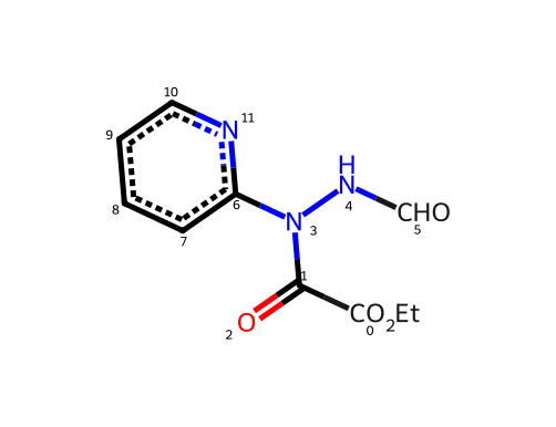 CCOC(=O)C(=O)N(NC=O)c1ccccn1